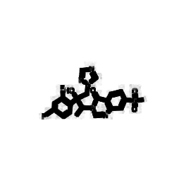 CC(n1cnc2cc(S(C)(=O)=O)ccc2c1=O)C(O)(Cn1cncn1)c1ccc(F)cc1F